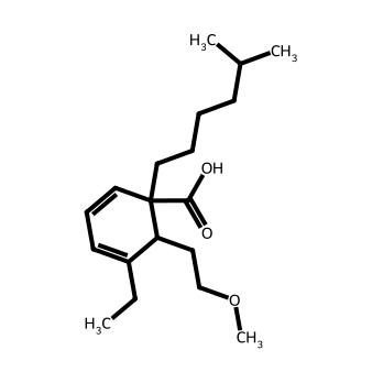 CCC1=CC=CC(CCCCC(C)C)(C(=O)O)C1CCOC